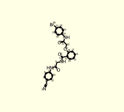 N#Cc1ccc(NC(=O)CNC(=O)c2ccccc2OCC(=O)Nc2ccc(Br)cc2)cc1